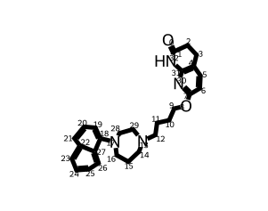 O=C1CCc2ccc(OCCCCN3CCCN(c4cccc5ccccc45)CC3)nc2N1